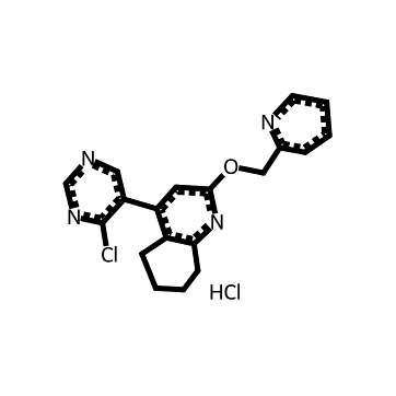 Cl.Clc1ncncc1-c1cc(OCc2ccccn2)nc2c1CCCC2